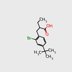 CCC(Cc1ccc(C(C)(C)C)cc1Br)C(=O)O